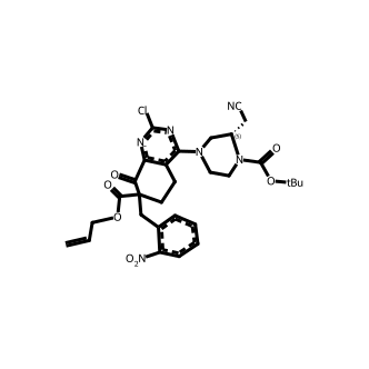 C=CCOC(=O)C1(Cc2ccccc2[N+](=O)[O-])CCc2c(nc(Cl)nc2N2CCN(C(=O)OC(C)(C)C)[C@@H](CC#N)C2)C1=O